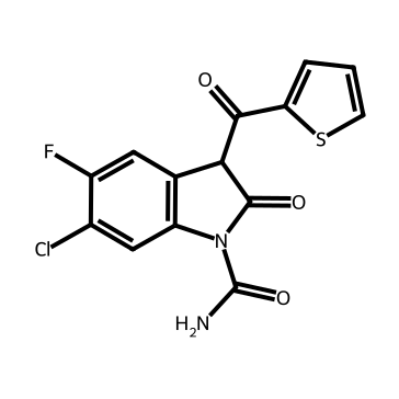 NC(=O)N1C(=O)C(C(=O)c2cccs2)c2cc(F)c(Cl)cc21